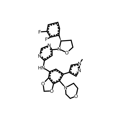 Cn1cc(-c2cc(Nc3cc(N4OCC[C@@H]4c4cccc(F)c4F)ncn3)c3c(c2N2CCOCC2)OCO3)cn1